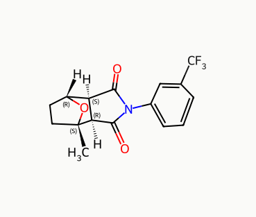 C[C@@]12CC[C@@H](O1)[C@H]1C(=O)N(c3cccc(C(F)(F)F)c3)C(=O)[C@H]12